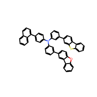 c1cc(-c2ccc3c(c2)sc2ccccc23)cc(N(c2ccc(-c3cccc4ccccc34)cc2)c2cccc(-c3ccc4oc5ccccc5c4c3)c2)c1